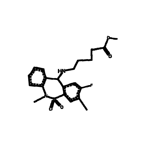 COC(=O)CCCCNC1c2ccccc2N(C)S(=O)(=O)c2cc(C)c(F)cc21